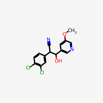 COc1cncc(C(O)C(C#N)c2ccc(Cl)c(Cl)c2)c1